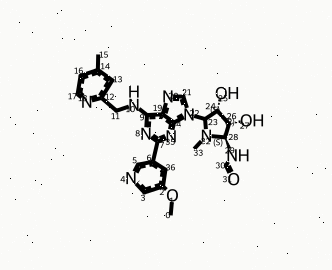 COc1cncc(-c2nc(NCc3cc(C)ccn3)c3ncn(C4[C@H](O)[C@H](O)[C@@H](NC=O)N4C)c3n2)c1